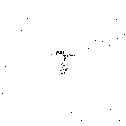 O=S(O)O.[H+].[H+].[Na+]